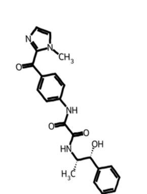 C[C@H](NC(=O)C(=O)Nc1ccc(C(=O)c2nccn2C)cc1)[C@H](O)c1ccccc1